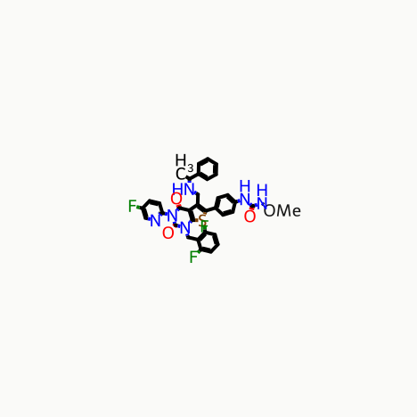 CONC(=O)Nc1ccc(-c2sc3c(c2CNC(C)c2ccccc2)c(=O)n(-c2ccc(F)cn2)c(=O)n3Cc2c(F)cccc2F)cc1